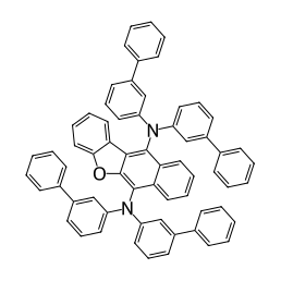 c1ccc(-c2cccc(N(c3cccc(-c4ccccc4)c3)c3c4ccccc4c(N(c4cccc(-c5ccccc5)c4)c4cccc(-c5ccccc5)c4)c4c3oc3ccccc34)c2)cc1